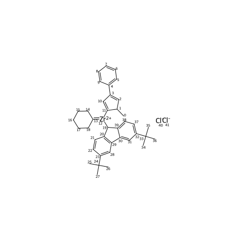 CC1C=C(c2ccccc2)C=[C]1[Zr+2](=[C]1CCCCC1)[CH]1c2ccc(C(C)(C)C)cc2-c2cc(C(C)(C)C)ccc21.[Cl-].[Cl-]